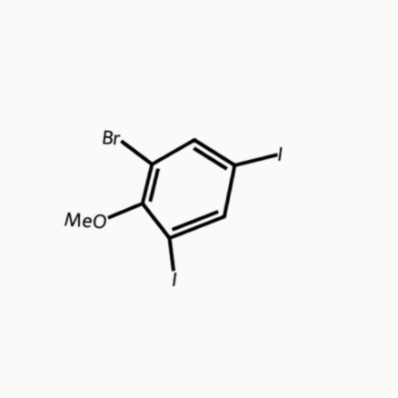 COc1c(Br)cc(I)cc1I